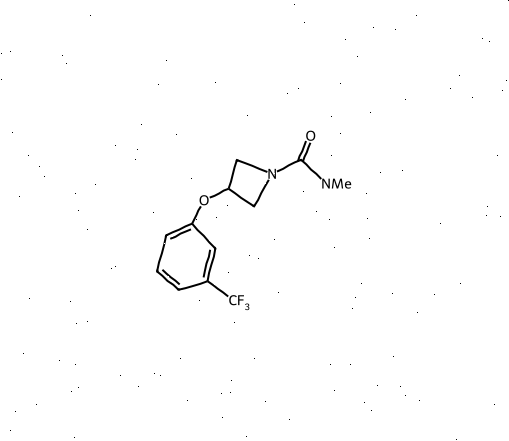 CNC(=O)N1CC(Oc2cccc(C(F)(F)F)c2)C1